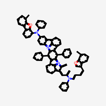 C=C(/C=c1\c(=C)n2c3c(-c4ccccc4)c4c5cccc6c7cc(N(c8ccccc8)c8cccc9c8oc8c(C)cccc89)ccc7n(c4c(-c4ccccc4)c3c3cccc1c32)c65)N(/C=C/C=C\c1coc2c(C)cccc12)c1ccccc1